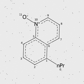 CCCc1cccc2c1ccc[n+]2[O-]